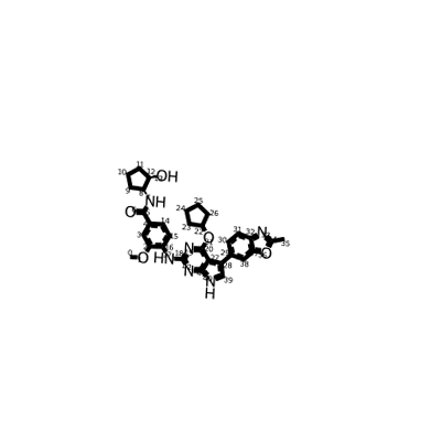 COc1cc(C(=O)N[C@@H]2CCC[C@H]2O)ccc1Nc1nc(OC2CCCC2)c2c(-c3ccc4nc(C)oc4c3)c[nH]c2n1